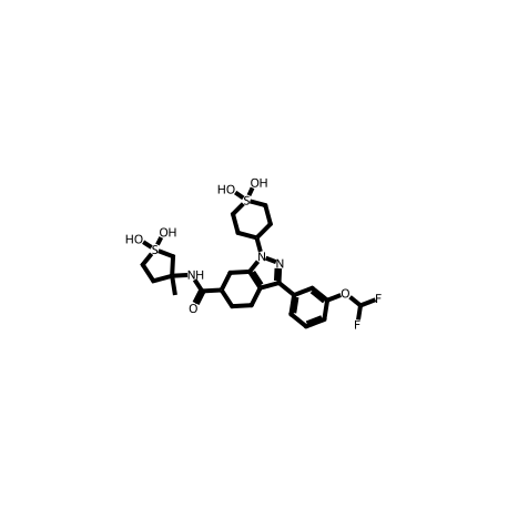 CC1(NC(=O)C2CCc3c(-c4cccc(OC(F)F)c4)nn(C4CCS(O)(O)CC4)c3C2)CCS(O)(O)C1